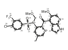 COCN(c1cc(C)cnc1C(=O)c1c(OC)cnc2[nH]ccc12)S(=O)(=O)c1ccc(Cl)c(C(F)(F)F)c1